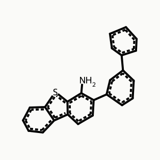 Nc1c(-c2cccc(-c3ccccc3)c2)ccc2c1sc1ccccc12